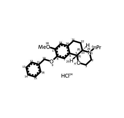 CCCN1CCO[C@@H]2c3cc(OCc4ccccc4)c(OC)cc3CC[C@H]21.Cl